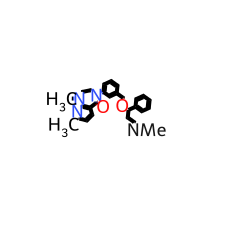 CNCCC(OCc1cccc(N2CCN(C)c3nc(C)ccc3C2=O)c1)c1ccccc1